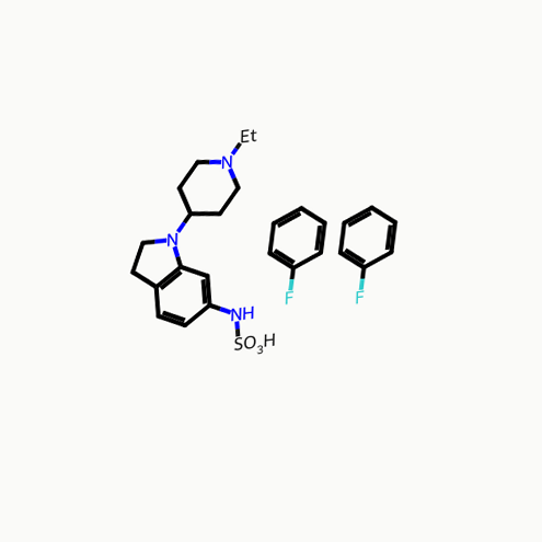 CCN1CCC(N2CCc3ccc(NS(=O)(=O)O)cc32)CC1.Fc1ccccc1.Fc1ccccc1